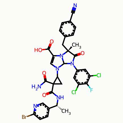 C[C@@H](NC(=O)C1(C(N)=O)CC1N1C=C(C(=O)O)N2C1N(c1cc(Cl)c(F)c(Cl)c1)C(=O)[C@@]2(C)Cc1ccc(C#N)cc1)c1ccc(Br)nc1